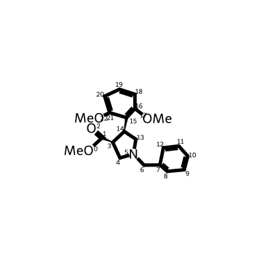 COC(=O)[C@@H]1CN(Cc2ccccc2)C[C@@H]1c1c(OC)cccc1OC